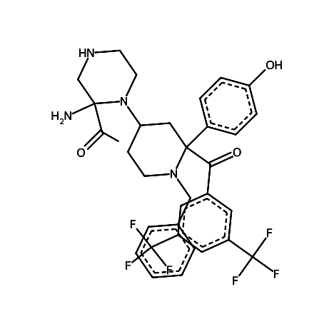 CC(=O)C1(N)CNCCN1C1CCN(Cc2ccccc2)C(C(=O)c2cc(C(F)(F)F)cc(C(F)(F)F)c2)(c2ccc(O)cc2)C1